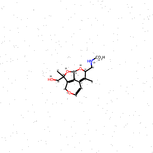 CC1=C2C=COCC3=C2B(OC1CNC(=O)O)OC3(C)CO